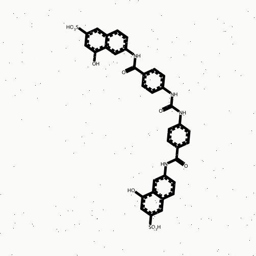 O=C(Nc1ccc(C(=O)Nc2ccc3cc(S(=O)(=O)O)cc(O)c3c2)cc1)Nc1ccc(C(=O)Nc2ccc3cc(S(=O)(=O)O)cc(O)c3c2)cc1